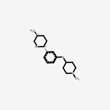 C[C@H]1CC[C@H](c2cccc(OC3CCN(C)CC3)c2)NC1